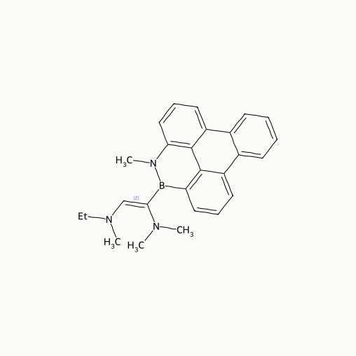 CCN(C)/C=C(/B1c2cccc3c4ccccc4c4cccc(c4c23)N1C)N(C)C